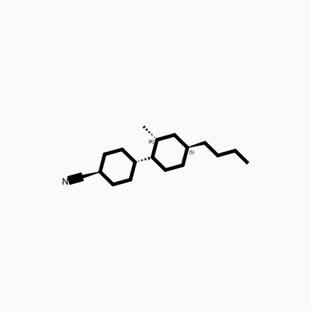 CCCC[C@H]1CCC([C@H]2CC[C@H](C#N)CC2)[C@H](C)C1